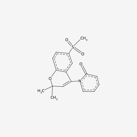 CC1(C)C=C(n2ccccc2=O)c2cc(S(C)(=O)=O)ccc2O1